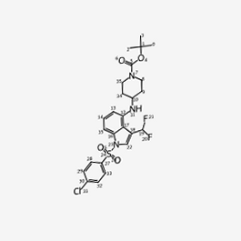 CC(C)(C)OC(=O)N1CCC(Nc2cccc3c2c(C(F)F)cn3S(=O)(=O)c2ccc(Cl)cc2)CC1